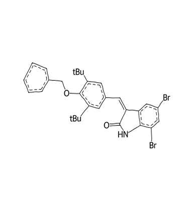 CC(C)(C)c1cc(C=C2C(=O)Nc3c(Br)cc(Br)cc32)cc(C(C)(C)C)c1OCc1ccccc1